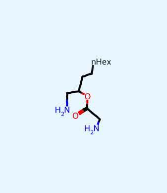 CCCCCCCCC(CN)OC(=O)CN